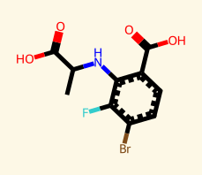 CC(Nc1c(C(=O)O)ccc(Br)c1F)C(=O)O